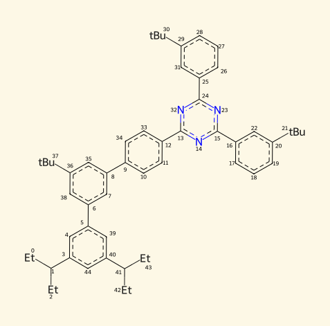 CCC(CC)c1cc(-c2cc(-c3ccc(-c4nc(-c5cccc(C(C)(C)C)c5)nc(-c5cccc(C(C)(C)C)c5)n4)cc3)cc(C(C)(C)C)c2)cc(C(CC)CC)c1